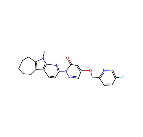 Cn1c2c(c3ccc(-n4ncc(OCc5ccc(F)cn5)cc4=O)nc31)CCCCC2